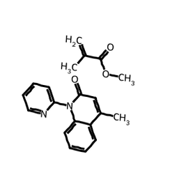 C=C(C)C(=O)OC.Cc1cc(=O)n(-c2ccccn2)c2ccccc12